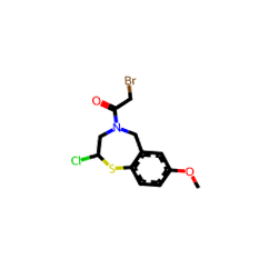 COc1ccc2c(c1)CN(C(=O)CBr)CC(Cl)S2